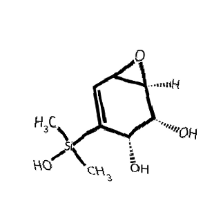 C[Si](C)(O)C1=CC2O[C@H]2[C@H](O)[C@@H]1O